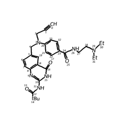 C#CCN(Cc1ccc2nc(NC(=O)C(C)(C)C)[nH]c(=O)c2c1)c1ccc(C(=O)NCCN(CC)CC)cc1